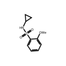 COc1cc[c]cc1S(=O)(=O)NC1CC1